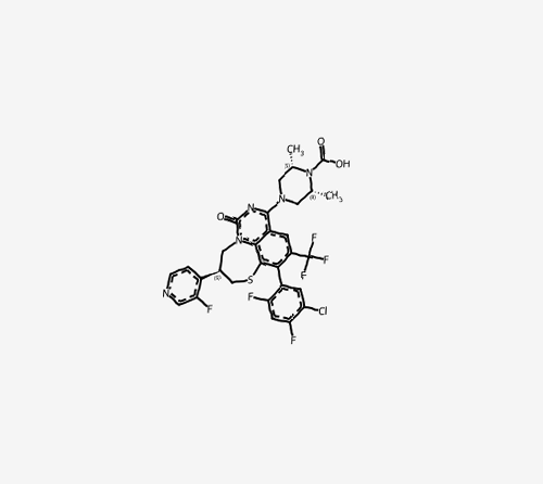 C[C@@H]1CN(c2nc(=O)n3c4c(c(-c5cc(Cl)c(F)cc5F)c(C(F)(F)F)cc24)SC[C@@H](c2ccncc2F)C3)C[C@H](C)N1C(=O)O